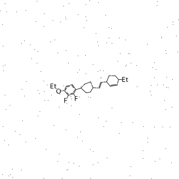 CCOc1ccc(C2CCC(/C=C/C3C=CC(CC)CC3)CC2)c(F)c1F